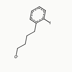 [O]CCCCc1ccccc1I